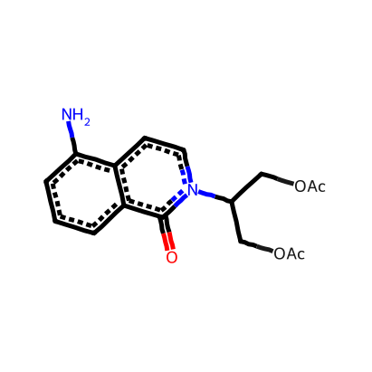 CC(=O)OCC(COC(C)=O)n1ccc2c(N)cccc2c1=O